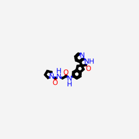 O=C(CNC(=O)N1CCCC1)Nc1ccc2c(c1)CC1(C2)C(=O)Nc2ncccc21